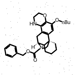 CCCCOc1cc2c(c3c1OCCN3)C[C@H]1C3CCCC[C@@]23CCN1C(=O)OCc1ccccc1